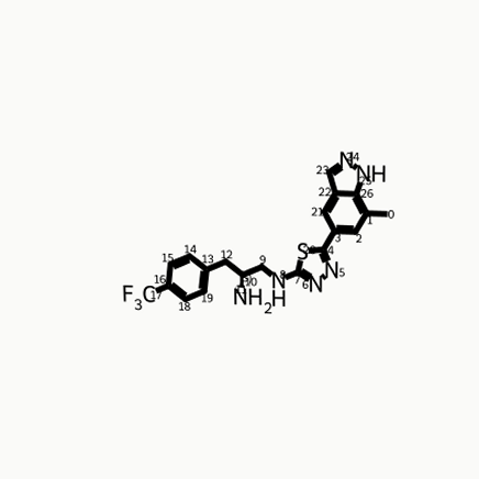 Cc1cc(-c2nnc(NC[C@@H](N)Cc3ccc(C(F)(F)F)cc3)s2)cc2cn[nH]c12